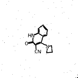 N#Cc1c(N2CCC2)c2ccccc2[nH]c1=O